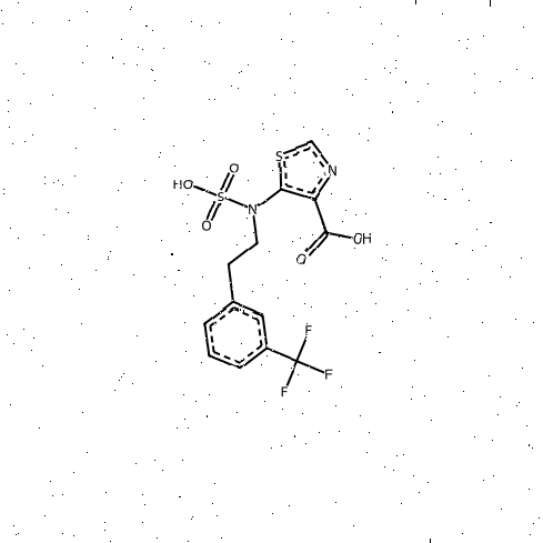 O=C(O)c1ncsc1N(CCc1cccc(C(F)(F)F)c1)S(=O)(=O)O